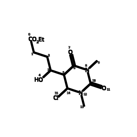 CCOC(=O)CCC(O)C1C(=O)N(C)C(=O)N(C)C1Cl